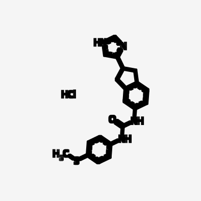 CSc1ccc(NC(=O)Nc2ccc3c(c2)CC(c2c[nH]cn2)C3)cc1.Cl